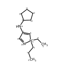 CCC[N+]1(CC)C=C(NC2CCCC2)C=N1